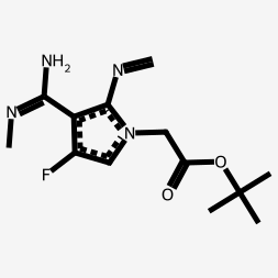 C=Nc1c(/C(N)=N\C)c(F)cn1CC(=O)OC(C)(C)C